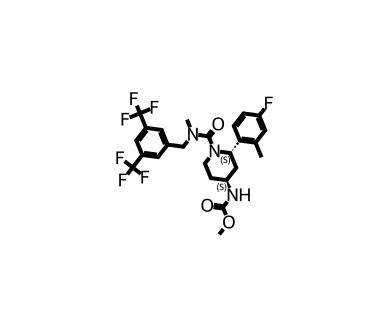 COC(=O)N[C@H]1CCN(C(=O)N(C)Cc2cc(C(F)(F)F)cc(C(F)(F)F)c2)[C@H](c2ccc(F)cc2C)C1